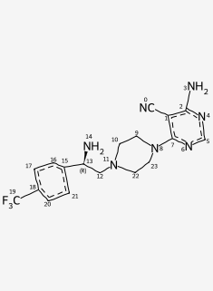 N#Cc1c(N)ncnc1N1CCN(C[C@H](N)c2ccc(C(F)(F)F)cc2)CC1